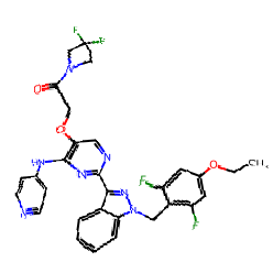 CCOc1cc(F)c(Cn2nc(-c3ncc(OCC(=O)N4CC(F)(F)C4)c(Nc4ccncc4)n3)c3ccccc32)c(F)c1